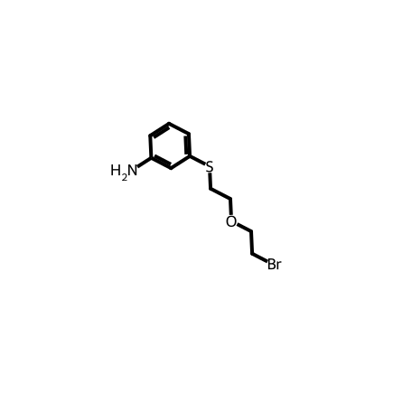 Nc1cccc(SCCOCCBr)c1